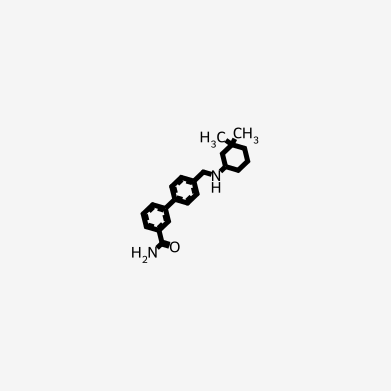 CC1(C)CCCC(NCc2ccc(-c3cccc(C(N)=O)c3)cc2)C1